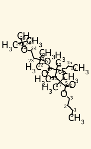 CCCCOC(=O)C(C)(C)C(C)C(C)(SCC)C(=O)OC(C)(C)CCOC(C)(C)C